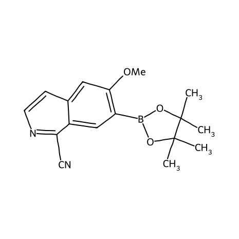 COc1cc2ccnc(C#N)c2cc1B1OC(C)(C)C(C)(C)O1